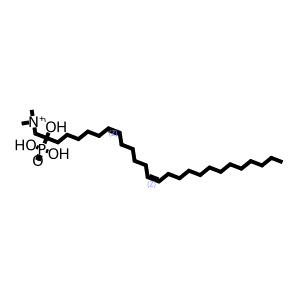 CCCCCCCCCCCC/C=C\CCCC/C=C\CCCCCC(O)(C[N+](C)(C)C)P(=O)(O)O